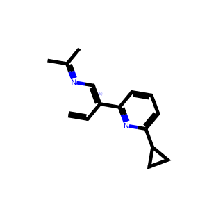 C=C/C(=C\N=C(C)C)c1cccc(C2CC2)n1